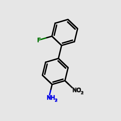 Nc1ccc(-c2ccccc2F)cc1[N+](=O)[O-]